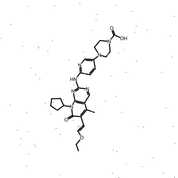 CCO/C=C/c1c(C)c2cnc(Nc3ccc(N4CCN(C(=O)O)CC4)cn3)nc2n(C2CCCC2)c1=O